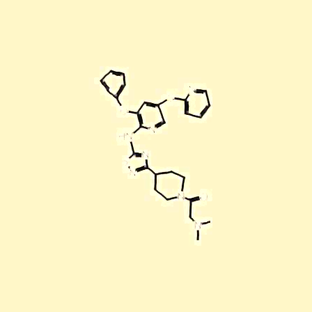 CN(C)CC(=O)N1CCC(c2nsc(Nc3ncc(Sc4ccccn4)cc3Oc3ccccc3)n2)CC1